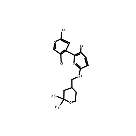 CC1(C)CC(CNc2ccc(Cl)c(-c3cc(N)ncc3Cl)n2)CCO1